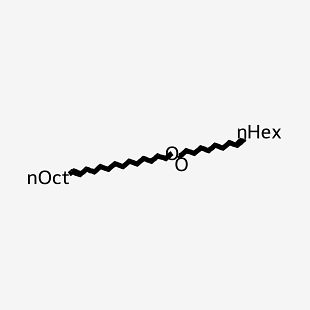 CCCCCC/C=C\CCCCCCCC(=O)OCCCCCCCCCCCCC=CCCCCCCCC